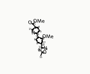 COC(=O)c1ccc(-c2ccc(-c3noc(C)n3)cc2OC)nc1